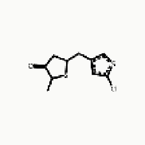 CC1SC(Cc2csc(Cl)c2)CC1=O